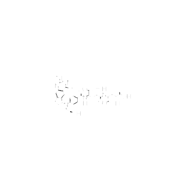 C#CCN(c1ccc(C(=O)N[C@@H](CCC(=O)NC(CCC(=O)O)C(=O)O)C(=O)O)cc1)C1CCc2cc3nc(N)[nH]c(=O)c3cc21